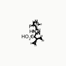 Cn1ncc(F)c1-c1nnc(C(C(=O)O)C(C2CC2)C2CC2)[nH]1